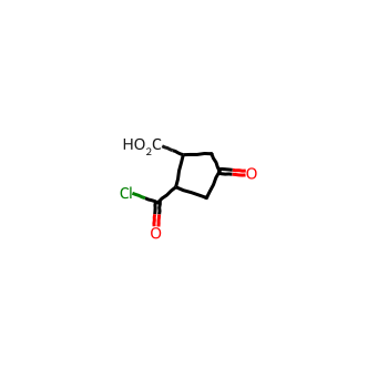 O=C1CC(C(=O)O)C(C(=O)Cl)C1